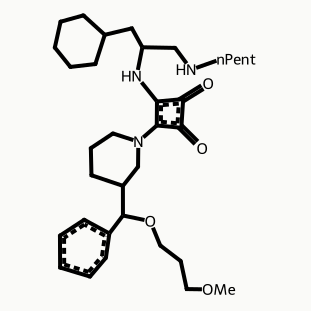 CCCCCNCC(CC1CCCCC1)Nc1c(N2CCCC(C(OCCCOC)c3ccccc3)C2)c(=O)c1=O